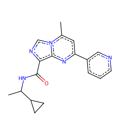 Cc1cc(-c2cccnc2)nc2c(C(=O)NC(C)C3CC3)ncn12